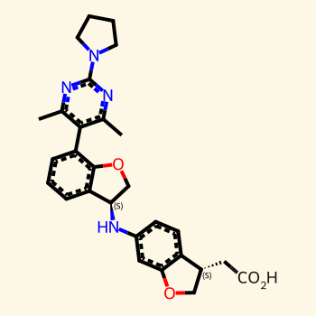 Cc1nc(N2CCCC2)nc(C)c1-c1cccc2c1OC[C@H]2Nc1ccc2c(c1)OC[C@H]2CC(=O)O